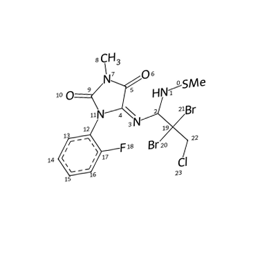 CSNC(N=C1C(=O)N(C)C(=O)N1c1ccccc1F)C(Br)(Br)CCl